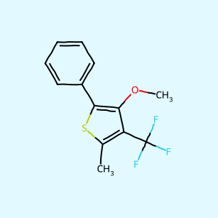 COc1c(-c2ccccc2)sc(C)c1C(F)(F)F